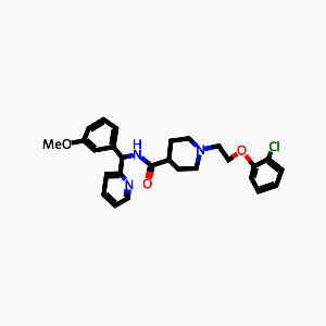 COc1cccc(C(NC(=O)C2CCN(CCOc3ccccc3Cl)CC2)c2ccccn2)c1